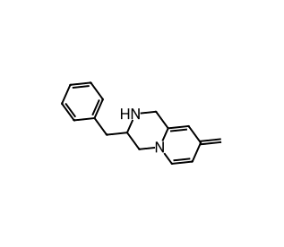 C=C1C=CN2CC(Cc3ccccc3)NCC2=C1